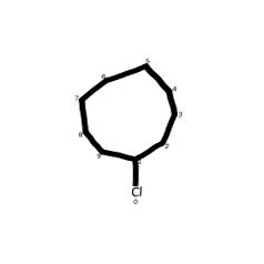 ClC1CCCCCCCC1